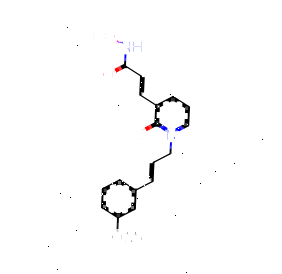 COc1cccc(/C=C/Cn2cccc(/C=C/C(=O)NO)c2=O)c1